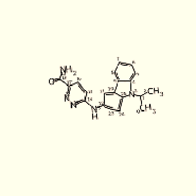 CC(C)n1c2ccccc2c2cc(Nc3ccc(C(N)=O)nn3)ccc21